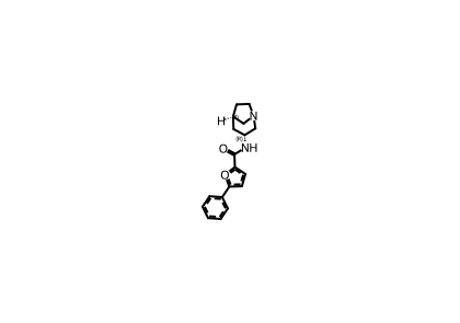 O=C(N[C@@H]1C[C@H]2CCN(C2)C1)c1ccc(-c2ccccc2)o1